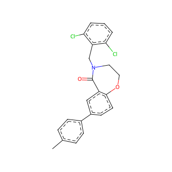 Cc1ccc(-c2ccc3c(c2)C(=O)N(Cc2c(Cl)cccc2Cl)CCO3)cc1